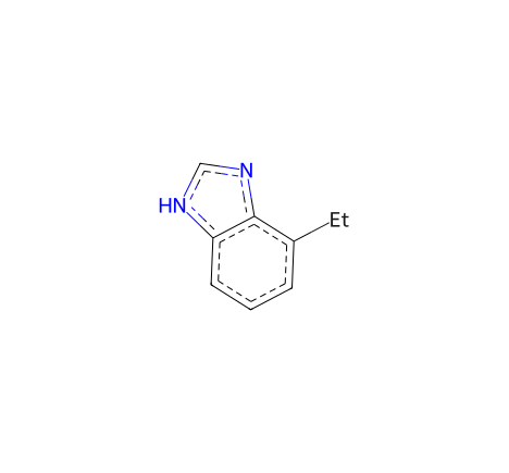 [CH2]Cc1cccc2[nH]cnc12